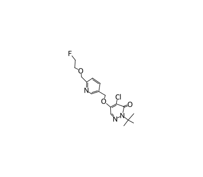 CC(C)(C)n1ncc(OCc2ccc(COCCF)nc2)c(Cl)c1=O